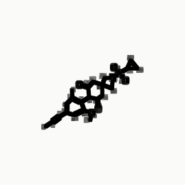 CC#Cc1cc(C)c(C2C(=O)CC3(CC2=O)CN(S(=O)(=O)C2CC2)C3)c(OC)c1